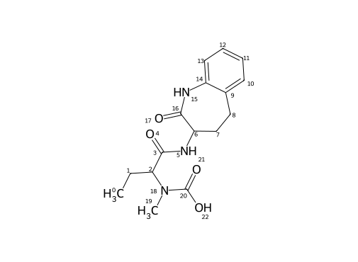 CCC(C(=O)NC1CCc2ccccc2NC1=O)N(C)C(=O)O